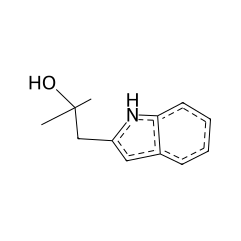 CC(C)(O)Cc1cc2ccccc2[nH]1